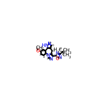 COc1ccc2c(c1)-c1[nH]ncc1Cc1c(-c3nc(C(C)(C)C)no3)ncn1-2